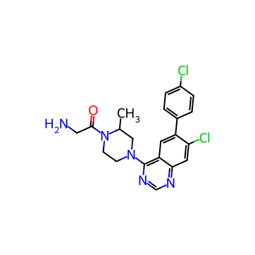 CC1CN(c2ncnc3cc(Cl)c(-c4ccc(Cl)cc4)cc23)CCN1C(=O)CN